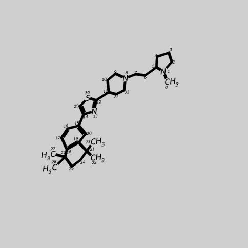 CN1CCCC1CCN1CCC(c2nc(-c3ccc4c(c3)C(C)(C)CCC4(C)C)cs2)CC1